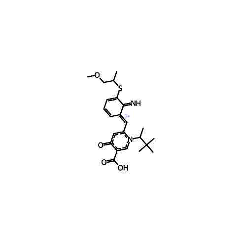 COCC(C)SC1=CC=C/C(=C\c2cc(=O)c(C(=O)O)cn2C(C)C(C)(C)C)C1=N